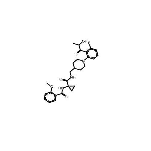 COc1ccccc1C(=O)NC1(C(=O)NCC2CCN(c3cccc(F)c3C(=O)C(C)O)CC2)CC1